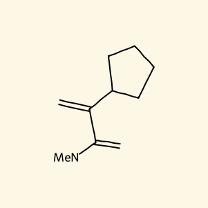 C=C(NC)C(=C)C1CCCC1